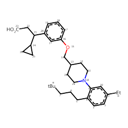 CCc1ccc(CCCC(C)(C)C)c(N2CCC(COc3cccc(C(CC(=O)O)C4CC4)c3)CC2)c1